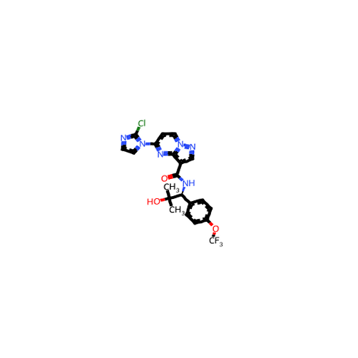 CC(C)(O)[C@@H](NC(=O)c1cnn2ccc(-n3ccnc3Cl)nc12)c1ccc(OC(F)(F)F)cc1